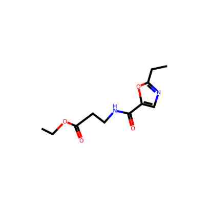 CCOC(=O)CCNC(=O)c1cnc(CC)o1